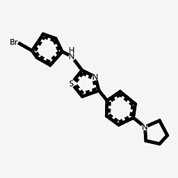 Brc1ccc(Nc2nc(-c3ccc(N4CCCC4)cc3)cs2)cc1